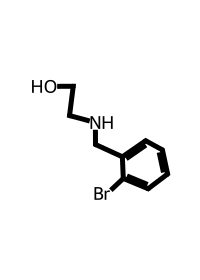 OCCNCc1ccccc1Br